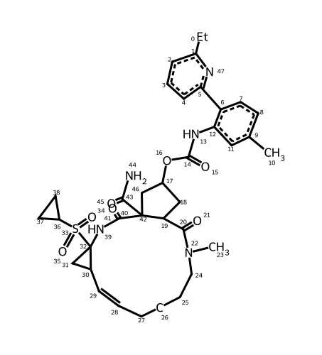 CCc1cccc(-c2ccc(C)cc2NC(=O)OC2CC3C(=O)N(C)CCCCC=CC4CC4(S(=O)(=O)C4CC4)NC(=O)C3(C(N)=O)C2)n1